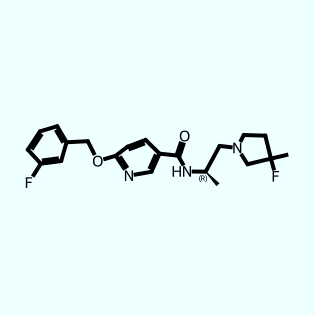 C[C@H](CN1CCC(C)(F)C1)NC(=O)c1ccc(OCc2cccc(F)c2)nc1